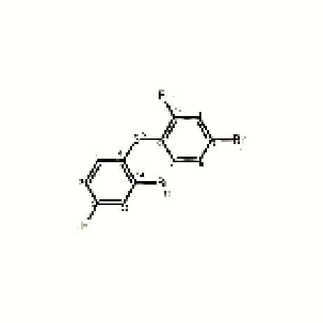 Fc1ccc(Sc2ccc(Br)cc2F)c(Br)c1